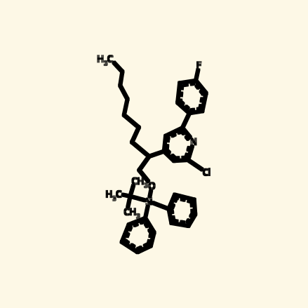 CCCCCCCC(CO[Si](c1ccccc1)(c1ccccc1)C(C)(C)C)c1cc(Cl)nc(-c2ccc(F)cc2)c1